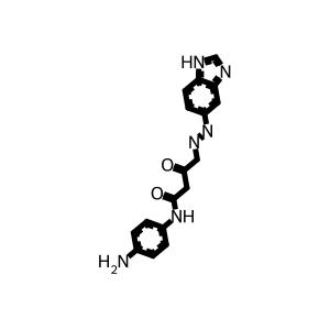 Nc1ccc(NC(=O)CC(=O)CN=Nc2ccc3[nH]cnc3c2)cc1